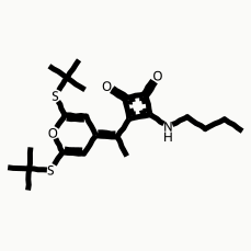 CCCCNc1c(C(C)=C2C=C(SC(C)(C)C)OC(SC(C)(C)C)=C2)c(=O)c1=O